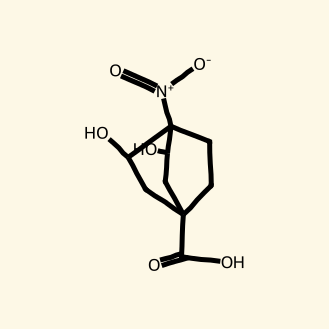 O=C(O)C12CCC([N+](=O)[O-])(C(O)C1)C(O)C2